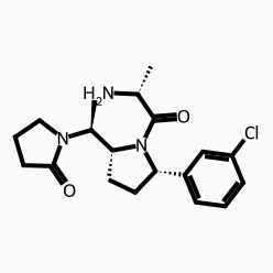 C[C@@H](N)C(=O)N1[C@@H]([C@H](C)N2CCCC2=O)CC[C@H]1c1cccc(Cl)c1